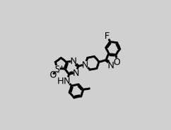 Cc1cccc(Nc2nc(N3CCC(c4noc5ccc(F)cc45)CC3)nc3c2[S+]([O-])CC3)c1